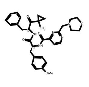 COc1ccc(C[C@H](NC(=O)c2ccnc(CN3CCOCC3)n2)C(=O)N[C@@H](Cc2ccccc2)C(=O)C2(C)CC2)cc1